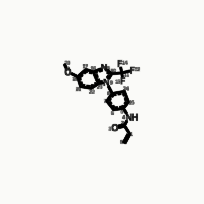 C=CC(=O)Nc1ccc(-n2c(C(F)(F)F)nc3cc(OC)ccc32)cc1